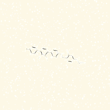 CCCCCCOc1ccc(COc2ccc(-c3ccc(-c4ccc(C)cc4)c(F)c3F)cc2)c(F)c1